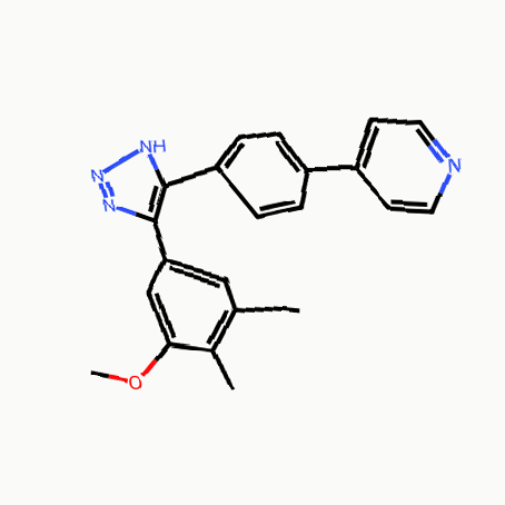 COc1cc(-c2nn[nH]c2-c2ccc(-c3ccncc3)cc2)cc(C)c1C